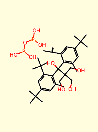 Cc1cc(C(C)(C)C)cc(C(C)(C)C)c1C(O)(c1c(C)cc(C(C)(C)C)cc1C(C)(C)C)C(CO)(CO)CO.OP(O)OP(O)O